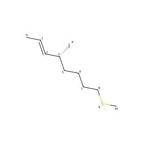 CC=C[C@H](I)CCCCSC